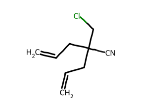 C=CCC(C#N)(CCl)CC=C